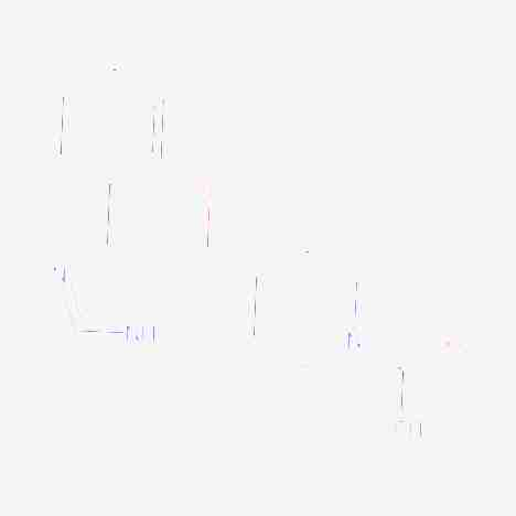 CC(=O)N1CCC(COc2ccccc2-c2c[nH]cn2)CC1